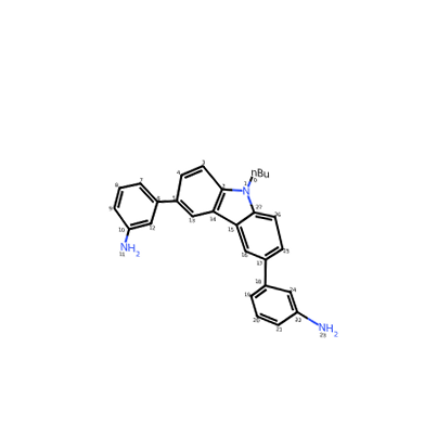 CCCCn1c2ccc(-c3cccc(N)c3)cc2c2cc(-c3cccc(N)c3)ccc21